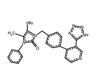 CCCCc1c(C)n(-c2ccccc2)c(=O)n1Cc1ccc(-c2ccncc2-c2nnn[nH]2)cc1